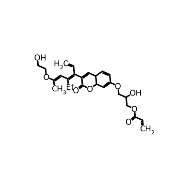 C=CC(=O)OCC(O)COC1=CC2OC(=O)C(/C(C=C)=C(/C=C(\C)OCCO)CC)=CC2C=C1